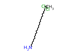 C[Si](Cl)(Cl)CCCCCCCCCCCCCCCCCCCCCCCCCCCCN